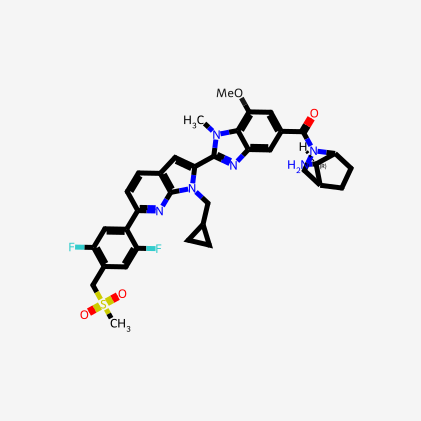 COc1cc(C(=O)N2CC3CCC2[C@@H]3N)cc2nc(-c3cc4ccc(-c5cc(F)c(CS(C)(=O)=O)cc5F)nc4n3CC3CC3)n(C)c12